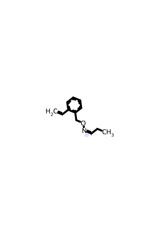 C=Cc1ccccc1CO/N=[C]\CC